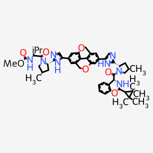 COC(=O)NC(C(=O)N1C[C@@H](C)C[C@H]1c1ncc(-c2cc3c4c(c2)OCc2cc(-c5cnc([C@@H]6C[C@H](C)CN6C(=O)[C@H](NC(=O)C6C(C)(C)C6(C)C)c6ccccc6)[nH]5)cc(c2-4)OC3)[nH]1)C(C)C